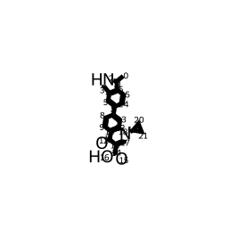 CC1NCc2cc(-c3ccc4c(=O)c(C(=O)O)cn(C5CC5)c4c3)ccc21